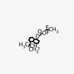 CCC(C)(C)c1cccc2c(OCC(=O)OCC(C)(F)F)cccc12